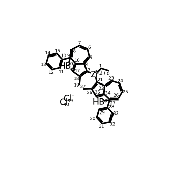 C[CH2][Zr+2]([c]1c2cccc3c(-c4ccccc4)c-2c(c1C)B3)[c]1c2cccc3c(-c4ccccc4)c-2c(c1C)B3.[Cl-].[Cl-]